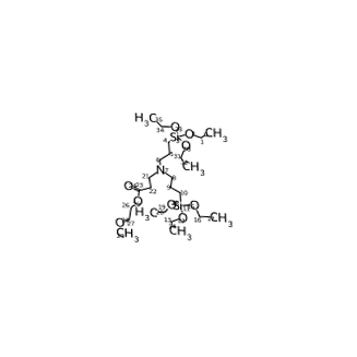 CCO[Si](CCCN(CCC[Si](OCC)(OCC)OCC)CCC(=O)OCCOC)(OCC)OCC